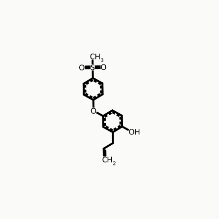 C=CCc1cc(Oc2ccc(S(C)(=O)=O)cc2)ccc1O